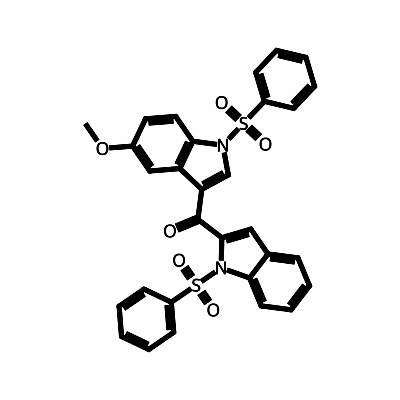 COc1ccc2c(c1)c(C(=O)c1cc3ccccc3n1S(=O)(=O)c1ccccc1)cn2S(=O)(=O)c1ccccc1